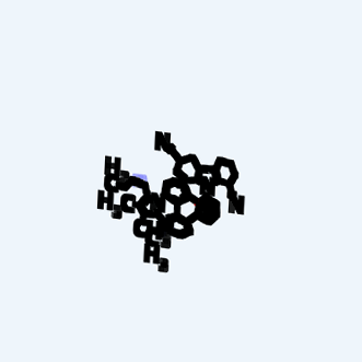 C=C/C=C\c1c(C)c(C)c(/C=C\C)n1-c1cccc(C#N)c1-c1ccccc1-c1cccc(-n2c3c(c4c2C(C#N)CC=C4)CC(C#N)C=C3)c1